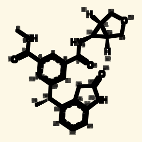 CNC(=O)c1cc(C(=O)N[C@H]2[C@@H]3COC[C@@H]32)cc([C@@H](C)c2cccc3c2CC(=O)N3)n1